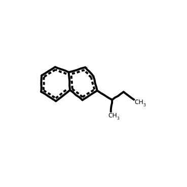 CCC(C)c1c[c]c2ccccc2c1